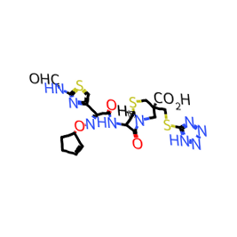 O=CNc1nc(C(=NOC2C=CCC2)C(=O)NC2C(=O)N3CC(CSc4nnn[nH]4)(C(=O)O)CS[C@H]23)cs1